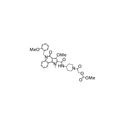 COC(=O)OCC(=O)N1CCC(NC(=O)c2c(OC)c3c(=O)n(Cc4ccccc4OC)c4ccccc4c3n2C)CC1